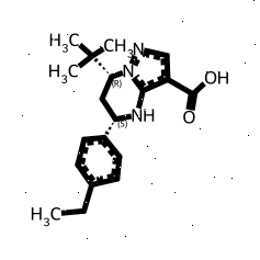 CCc1ccc([C@@H]2C[C@H](C(C)(C)C)n3ncc(C(=O)O)c3N2)cc1